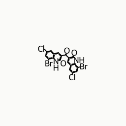 O=C(c1cc2cc(Cl)cc(Br)c2[nH]c1=O)c1cc2cc(Cl)cc(Br)c2[nH]c1=O